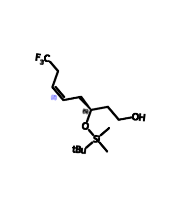 CC(C)(C)[Si](C)(C)O[C@@H](C/C=C\CC(F)(F)F)CCO